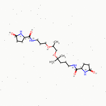 CC(COC(C)(C)CCCNC(=O)C1CCC(=O)N1)OCCCNC(=O)C1CCC(=O)N1